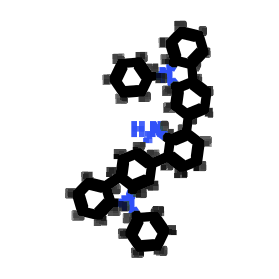 Nc1c(-c2ccc3c4ccccc4n(-c4ccccc4)c3c2)cccc1-c1ccc2c3ccccc3n(-c3ccccc3)c2c1